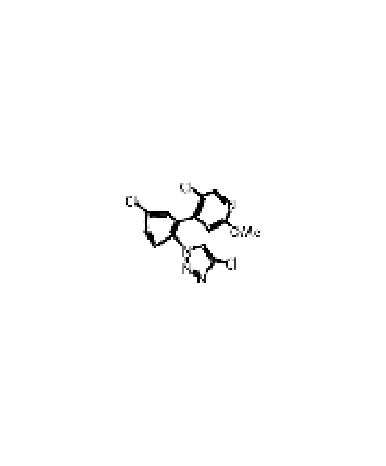 COc1cc(-c2cc(Cl)ccc2-n2cc(Cl)nn2)c(Cl)cn1